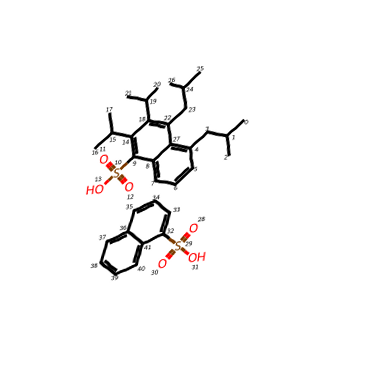 CC(C)Cc1cccc2c(S(=O)(=O)O)c(C(C)C)c(C(C)C)c(CC(C)C)c12.O=S(=O)(O)c1cccc2ccccc12